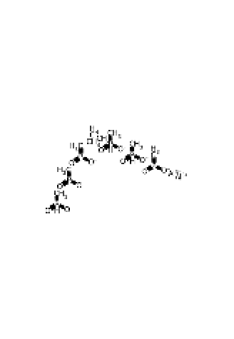 C.C.C.C[PH](=O)[O-].C[PH](=O)[O-].C[PH](=O)[O-].C[PH](=O)[O-].C[PH](=O)[O-].C[PH](=O)[O-].[Al+3].[Al+3]